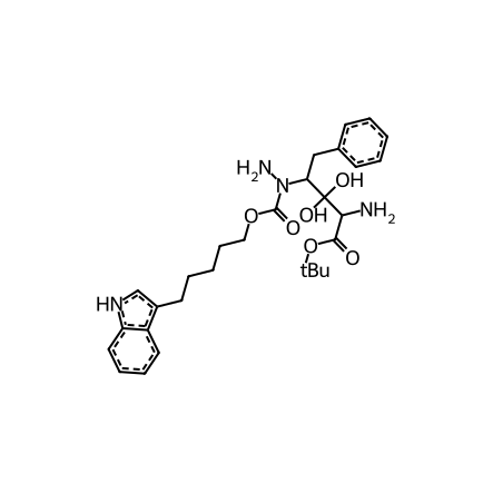 CC(C)(C)OC(=O)C(N)C(O)(O)C(Cc1ccccc1)N(N)C(=O)OCCCCCc1c[nH]c2ccccc12